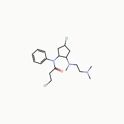 CN(C)CCN(C)C1CC(Cl)CC1N(C(=O)CCCl)c1ccccc1